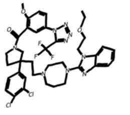 CCOCCn1c(N2CCCN(CCC3(c4ccc(Cl)c(Cl)c4)CCN(C(=O)c4cc(-n5nnnc5C(F)(F)F)ccc4OC)C3)CC2)nc2ccccc21